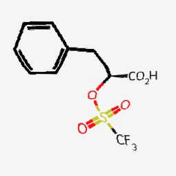 O=C(O)[C@H](Cc1ccccc1)OS(=O)(=O)C(F)(F)F